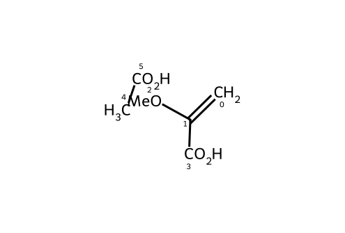 C=C(OC)C(=O)O.CC(=O)O